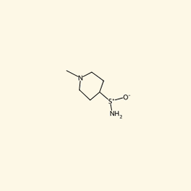 CN1CCC([S+](N)[O-])CC1